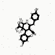 CC1NC(Cc2ccc(Br)cc2)=C(C#N)C(c2ccc(F)cc2Cl)C1(C)C(=O)O